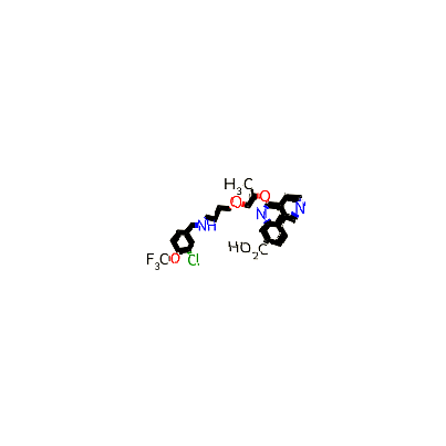 C[C@H](COCCCCNCc1ccc(OC(F)(F)F)c(Cl)c1)Oc1nc2cc(C(=O)O)ccc2c2cnccc12